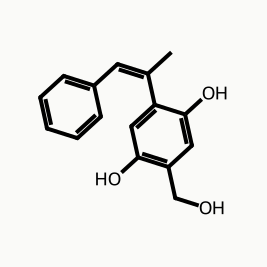 CC(=Cc1ccccc1)c1cc(O)c(CO)cc1O